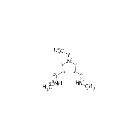 CCN(CCCNC)CCCNC